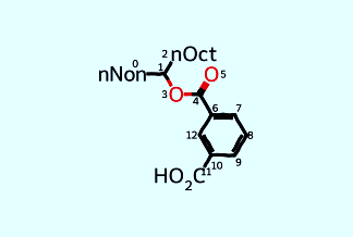 CCCCCCCCCC(CCCCCCCC)OC(=O)c1cccc(C(=O)O)c1